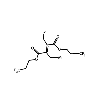 CC(C)CC(C(=O)OCCC(F)(F)F)=C(CC(C)C)C(=O)OCCC(F)(F)F